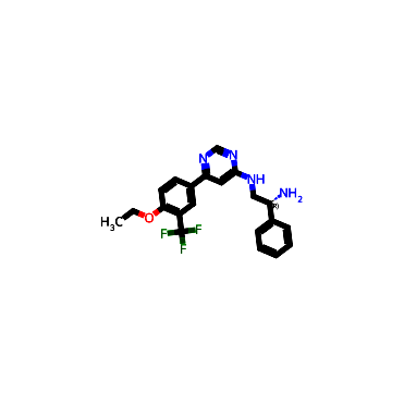 CCOc1ccc(-c2cc(NC[C@H](N)c3ccccc3)ncn2)cc1C(F)(F)F